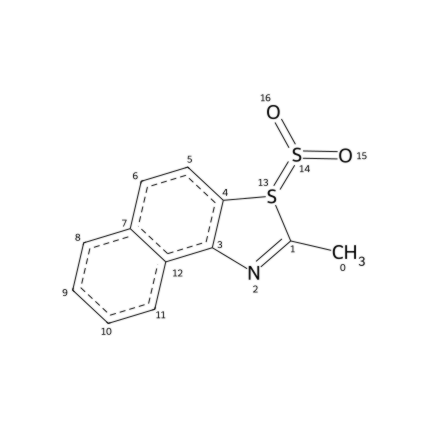 CC1=Nc2c(ccc3ccccc23)S1=S(=O)=O